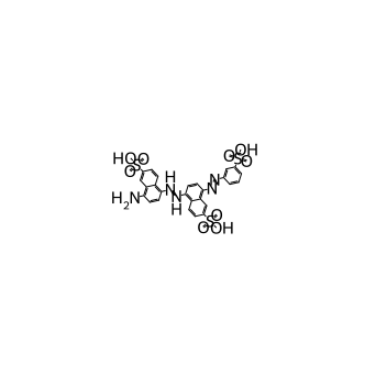 Nc1ccc(NNc2ccc(/N=N/c3cccc(S(=O)(=O)O)c3)c3cc(S(=O)(=O)O)ccc23)c2ccc(S(=O)(=O)O)cc12